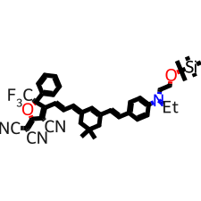 CCN(CCOC(C)(C)[Si](C)(C)C)c1ccc(/C=C/C2=CC(=C/C=C/C3=C(C#N)C(=C(C#N)C#N)OC3(c3ccccc3)C(F)(F)F)/CC(C)(C)C2)cc1